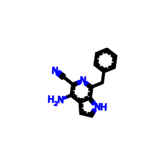 N#Cc1nc(Cc2ccccc2)c2[nH]ccc2c1N